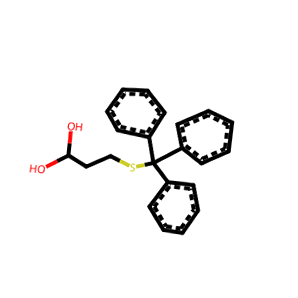 OC(O)CCSC(c1ccccc1)(c1ccccc1)c1ccccc1